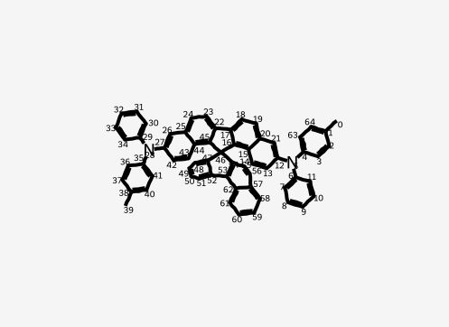 Cc1ccc(N(c2ccccc2)c2ccc3c4c(ccc3c2)-c2ccc3cc(N(c5ccccc5)c5ccc(C)cc5)ccc3c2C42c3ccccc3-c3c2ccc2ccccc32)cc1